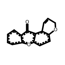 O=c1c2ccccc2oc2ccc3c(c12)C=CCO3